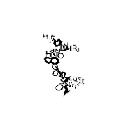 CCOC(=O)c1c(NC(=O)C2CC2)sc2c1CCN(C(=O)COc1ccc(NC(=O)Nc3cc(C(C)(C)C)nn3-c3ccc(C)cc3)c3c1CCC3)C2